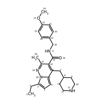 CCc1ccc2c(CC3CCNCC3)c(C(=O)NCc3ccc(OC)cc3)c(C)nn12